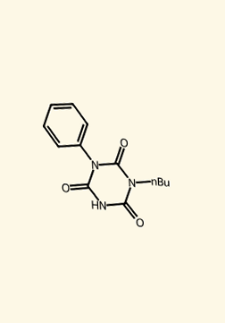 CCCCn1c(=O)[nH]c(=O)n(-c2ccccc2)c1=O